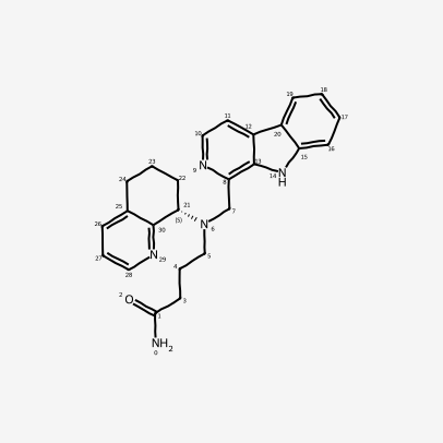 NC(=O)CCCN(Cc1nccc2c1[nH]c1ccccc12)[C@H]1CCCc2cccnc21